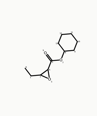 CCC1OC1C(=O)OC1CCCCC1